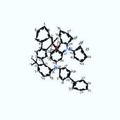 CC1(C)c2ccccc2-c2cc3c(cc21)-c1c(N(c2ccc(-c4ccccc4)cc2)c2ccc4c5ccccc5n(-c5ccccc5)c4c2)cccc1C3(C)C